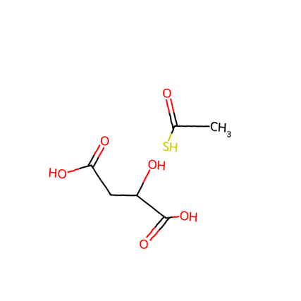 CC(=O)S.O=C(O)CC(O)C(=O)O